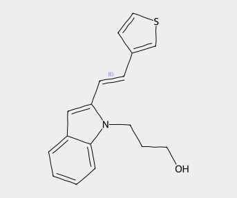 OCCCn1c(/C=C/c2ccsc2)cc2ccccc21